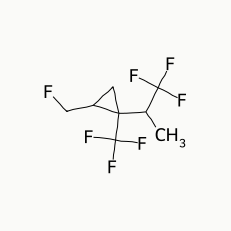 CC(C(F)(F)F)C1(C(F)(F)F)CC1CF